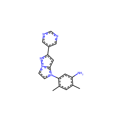 Cc1cc(C)c(-n2ccn3nc(-c4cncnc4)cc23)cc1N